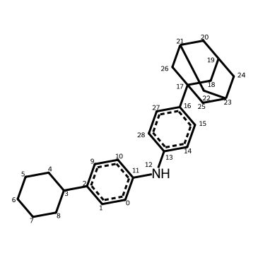 c1cc(C2CCCCC2)ccc1Nc1ccc(C23CC4CC(CC(C4)C2)C3)cc1